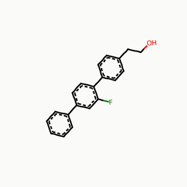 OCCc1ccc(-c2ccc(-c3ccccc3)cc2F)cc1